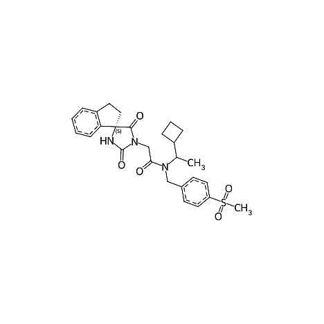 CC(C1CCC1)N(Cc1ccc(S(C)(=O)=O)cc1)C(=O)CN1C(=O)N[C@]2(CCc3ccccc32)C1=O